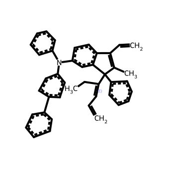 C=C/C=C(\CC)C1(c2ccccc2)C(C)=C(C=C)c2ccc(N(c3ccccc3)c3ccc(-c4ccccc4)cc3)cc21